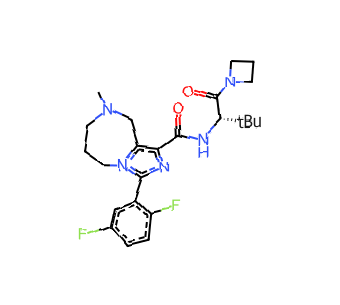 CN1CCCn2c(-c3cc(F)ccc3F)nc(C(=O)N[C@H](C(=O)N3CCC3)C(C)(C)C)c2C1